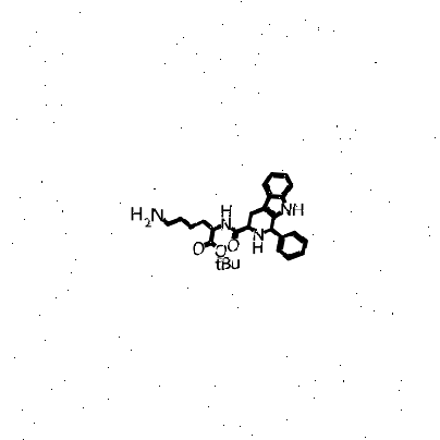 CC(C)(C)OC(=O)C(CCCCN)NC(=O)C1Cc2c([nH]c3ccccc23)C(c2ccccc2)N1